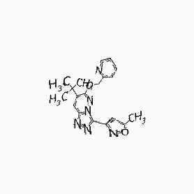 Cc1cc(-c2nnc3cc(C(C)(C)C)c(OCc4ccccn4)nn23)no1